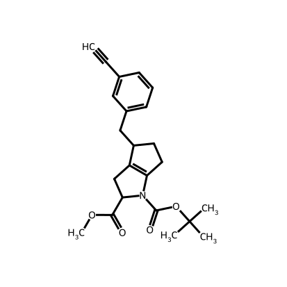 C#Cc1cccc(CC2CCC3=C2CC(C(=O)OC)N3C(=O)OC(C)(C)C)c1